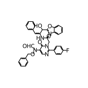 O=CN(OCc1ccccc1)c1cnc(-c2ccc(F)cc2)n(CC(=O)NC(=Cc2ccccc2)C(O)c2nc3ccccc3o2)c1=O